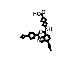 CC#Cc1ccc(C(=O)NC2CC3(C2)CC(C(=O)O)C3)c2c1cnn2C(C)c1ccc(C2CCC2)cc1